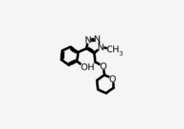 Cn1nnc(-c2ccccc2O)c1COC1CCCCO1